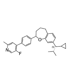 Cc1cc(-c2ccc(C3CCCc4ccc([C@@H](C(C)C)C5CC5)cc4O3)cc2)c(F)cn1